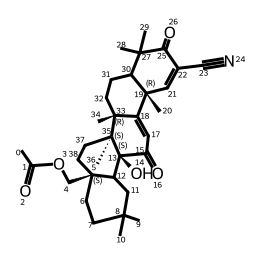 CC(=O)OC[C@]12CCC(C)(C)CC1[C@@]1(O)C(=O)C=C3[C@@]4(C)C=C(C#N)C(=O)C(C)(C)C4CC[C@@]3(C)[C@]1(C)CC2